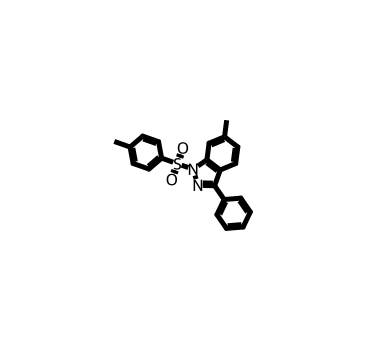 Cc1ccc(S(=O)(=O)n2nc(-c3ccccc3)c3ccc(C)cc32)cc1